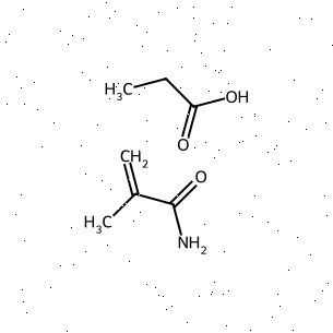 C=C(C)C(N)=O.CCC(=O)O